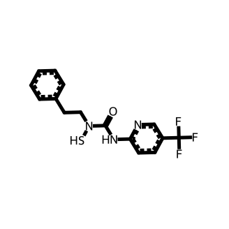 O=C(Nc1ccc(C(F)(F)F)cn1)N(S)CCc1ccccc1